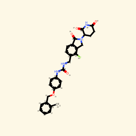 O=C1CCC(N2Cc3c(ccc(CNC(=O)Nc4ccc(OCc5ccccc5C(F)(F)F)cc4)c3F)C2=O)C(=O)N1